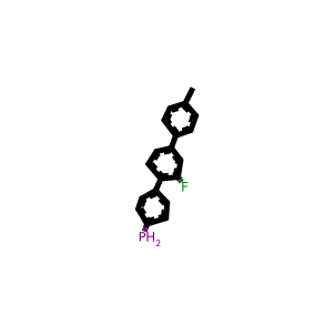 Cc1ccc(-c2ccc(-c3ccc(P)cc3)c(F)c2)cc1